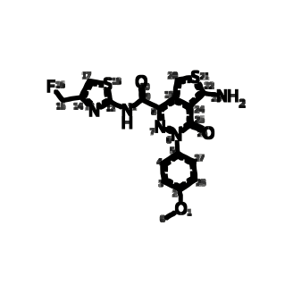 COc1ccc(-n2nc(C(=O)Nc3nc(CF)cs3)c3csc(N)c3c2=O)cc1